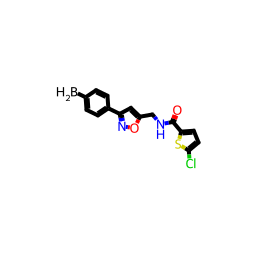 Bc1ccc(-c2cc(CNC(=O)c3ccc(Cl)s3)on2)cc1